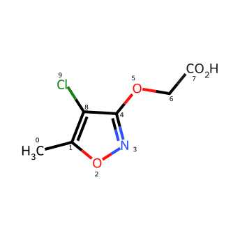 Cc1onc(OCC(=O)O)c1Cl